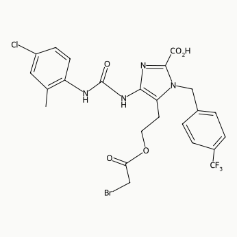 Cc1cc(Cl)ccc1NC(=O)Nc1nc(C(=O)O)n(Cc2ccc(C(F)(F)F)cc2)c1CCOC(=O)CBr